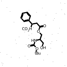 CC(C)(C)OC(=O)NC(CO)COC(=O)CC(C(=O)O)c1ccccc1